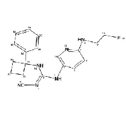 N#CN=C(Nc1ccc(NCCF)nc1)NC1(c2ccccc2)CCC1